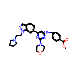 COC(=O)c1ccc(Nc2cc(-c3ccc4cnn(CCN5CCCC5)c4c3)nc(N3CCOCC3)n2)cc1